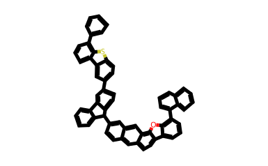 c1ccc(-c2cccc3c2sc2ccc(-c4ccc5c(c4)-c4ccccc4C5c4ccc5cc6ccc7c8cccc(-c9cccc%10ccccc9%10)c8oc7c6cc5c4)cc23)cc1